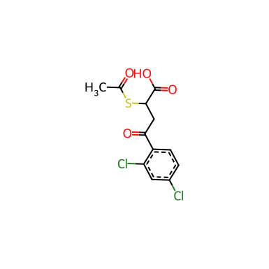 CC(=O)SC(CC(=O)c1ccc(Cl)cc1Cl)C(=O)O